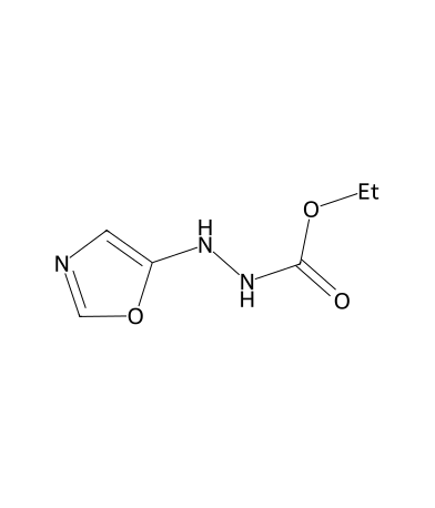 CCOC(=O)NNc1cnco1